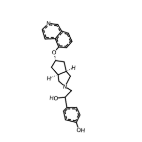 Oc1ccc(C(O)CN2C[C@H]3C[C@H](Oc4cccc5cnccc45)C[C@H]3C2)cc1